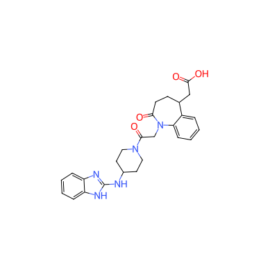 O=C(O)CC1CCC(=O)N(CC(=O)N2CCC(Nc3nc4ccccc4[nH]3)CC2)c2ccccc21